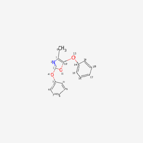 Cc1nc(Oc2ccccc2)oc1Oc1ccccc1